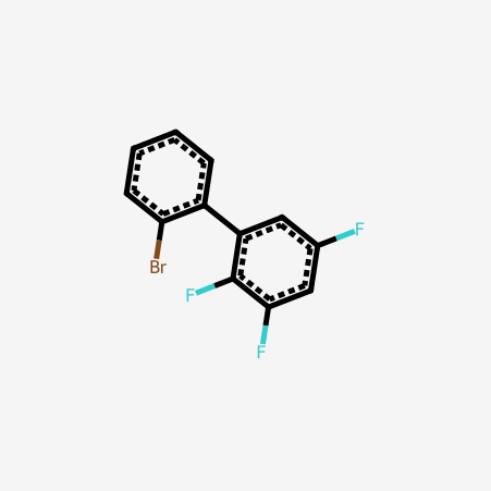 Fc1cc(F)c(F)c(-c2ccccc2Br)c1